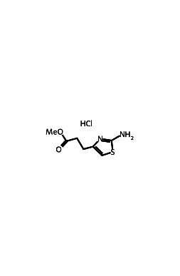 COC(=O)CCc1csc(N)n1.Cl